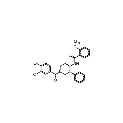 O=C(N[C@@H]1CCN(C(=O)c2ccc(Cl)c(Cl)c2)C[C@@H]1c1ccccc1)c1ccccc1OC(F)(F)F